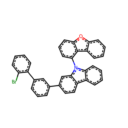 Brc1ccccc1-c1cccc(-c2ccc3c4ccccc4n(-c4cccc5oc6ccccc6c45)c3c2)c1